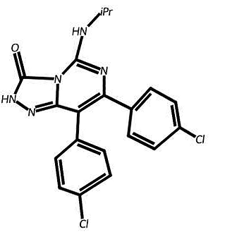 CC(C)Nc1nc(-c2ccc(Cl)cc2)c(-c2ccc(Cl)cc2)c2n[nH]c(=O)n12